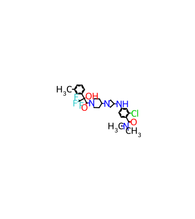 Cc1cccc(C(O)(C(=O)N2CCC(N3CC(Nc4ccc(C(=O)N(C)C)c(Cl)c4)C3)CC2)C(F)(F)F)c1